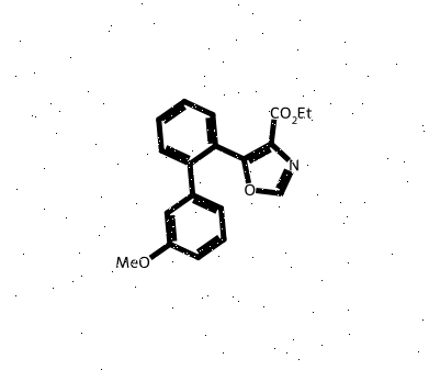 CCOC(=O)c1ncoc1-c1ccccc1-c1cccc(OC)c1